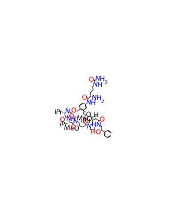 CC[C@H](C)[C@@H]([C@@H](CC(=O)N1CCC[C@H]1[C@H](OC)[C@@H](C)C(=O)N[C@H](C)[C@@H](O)c1ccccc1)OC)N(C)C(=O)[C@@H](NC(=O)[C@H](C(C)C)N(C)C(=O)OCc1ccc(NC(=O)[C@@H](N)CCCNC(N)=O)cc1S(=O)(=O)O)C(C)C